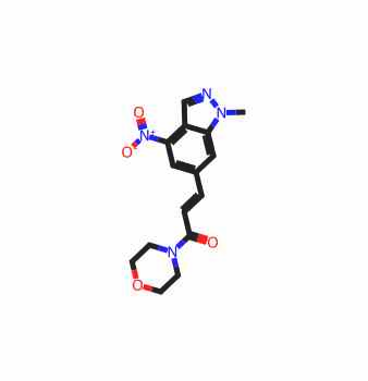 Cn1ncc2c([N+](=O)[O-])cc(/C=C/C(=O)N3CCOCC3)cc21